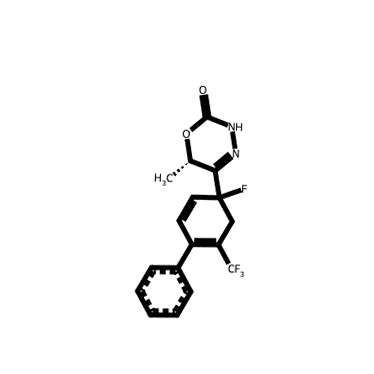 C[C@@H]1OC(=O)NN=C1C1(F)C=CC(c2ccccc2)=C(C(F)(F)F)C1